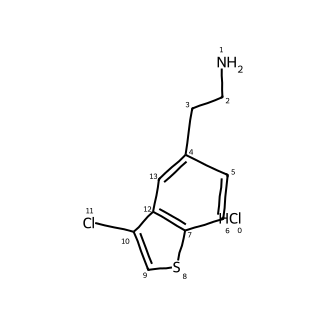 Cl.NCCc1ccc2scc(Cl)c2c1